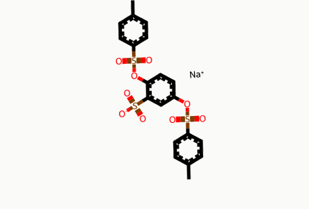 Cc1ccc(S(=O)(=O)Oc2ccc(OS(=O)(=O)c3ccc(C)cc3)c(S(=O)(=O)[O-])c2)cc1.[Na+]